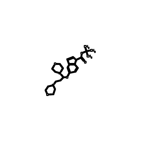 CC(C)(C)OC(=O)n1ccc2cc(OC(CCN3CCOCC3)N3CCOCC3)ccc21